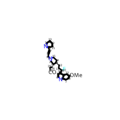 COc1ccc2nccc([C@H](F)CC[C@@H]3CCN(CC#Cc4ccccn4)C[C@H]3CCC(=O)O)c2c1